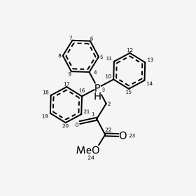 C=C(C[PH](c1ccccc1)(c1ccccc1)c1ccccc1)C(=O)OC